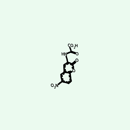 O=C(O)C(=O)Nc1cc2cc([N+](=O)[O-])ccc2oc1=O